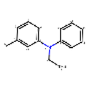 Cc1cccc(N(CC(C)(C)C)c2ccccc2)c1